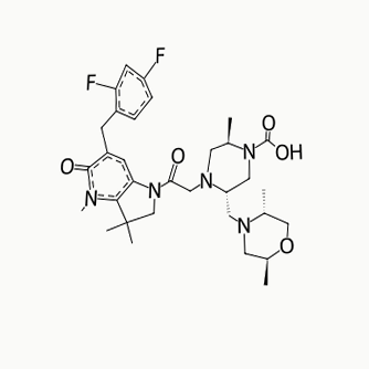 C[C@@H]1CO[C@@H](C)CN1C[C@H]1CN(C(=O)O)[C@H](C)CN1CC(=O)N1CC(C)(C)c2c1cc(Cc1ccc(F)cc1F)c(=O)n2C